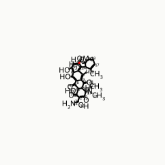 COc1cc(O)c2c(O)c3c(c4c2c1[C@]1(C4)C(C)=CCCC1(C)C)C(=O)[C@H]1[C@H](N(C)C)C(O)=C(C(N)=O)C(=O)[C@@]1(O)C3=O